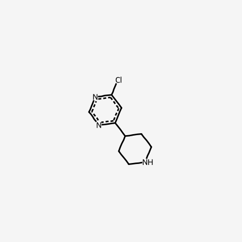 Clc1cc(C2CCNCC2)ncn1